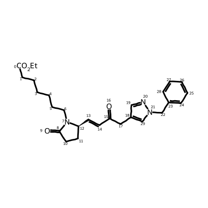 CCOC(=O)CCCCCCN1C(=O)CC[C@@H]1C=CC(=O)Cc1cnn(Cc2ccccc2)c1